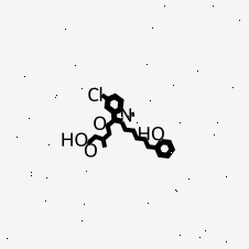 CC(CC(=O)O)CC(=O)c1c(CCCCCc2ccccc2O)n(C)c2ccc(Cl)cc12